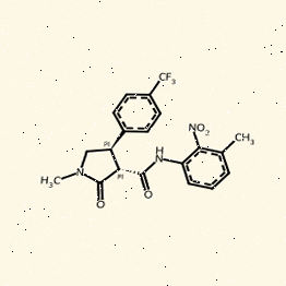 Cc1cccc(NC(=O)[C@@H]2C(=O)N(C)C[C@H]2c2ccc(C(F)(F)F)cc2)c1[N+](=O)[O-]